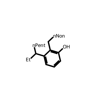 CCCCCCCCCCc1c(O)cccc1C(CC)CCCCC